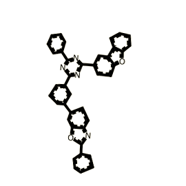 c1ccc(-c2nc(-c3cccc(-c4ccc5nc(-c6ccccc6)oc5c4)c3)nc(-c3ccc4oc5ccccc5c4c3)n2)cc1